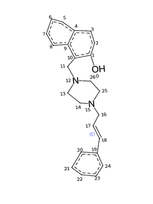 Oc1ccc2ccccc2c1CN1CCN(C/C=C/c2ccccc2)CC1